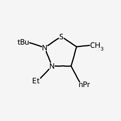 CCCC1C(C)SN(C(C)(C)C)N1CC